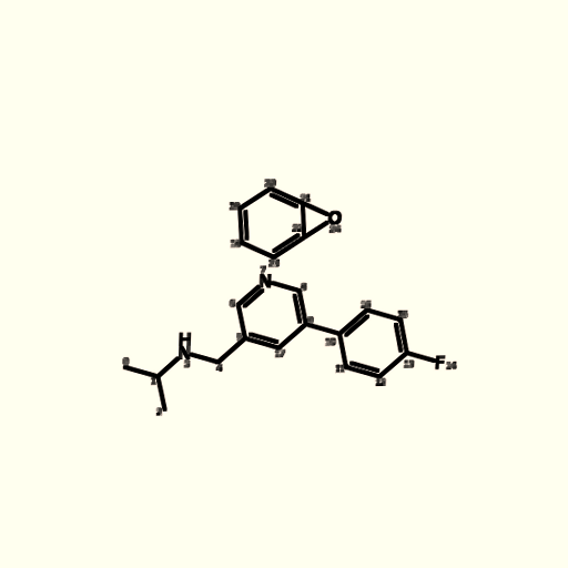 CC(C)NCc1cncc(-c2ccc(F)cc2)c1.c1ccc2c(c1)O2